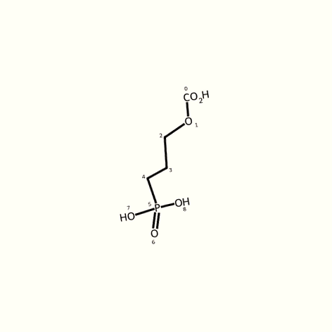 O=C(O)OCCCP(=O)(O)O